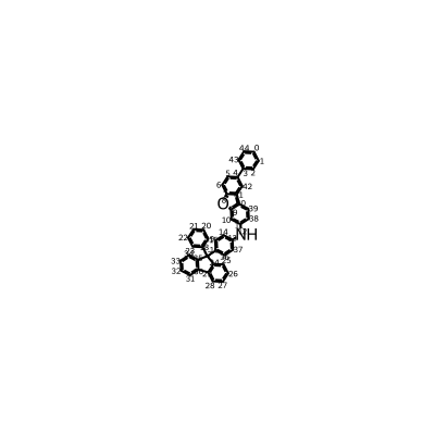 c1ccc(-c2ccc3oc4cc(Nc5ccc(C6(c7ccccc7)c7ccccc7-c7ccccc76)cc5)ccc4c3c2)cc1